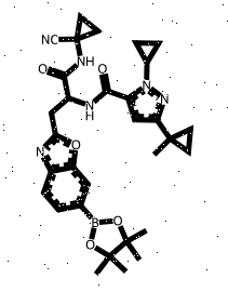 CC1(c2cc(C(=O)NC(Cc3nc4ccc(B5OC(C)(C)C(C)(C)O5)cc4o3)C(=O)NC3(C#N)CC3)n(C3CC3)n2)CC1